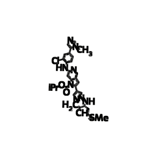 C=C(C)[C@H](CCSC)Nn1cc(-c2cc3cnc(Nc4ccc(-c5cncn5C)cc4Cl)cc3n2C(=O)OC(C)C)cn1